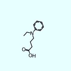 CCN(CCCC(=O)O)c1ccccc1